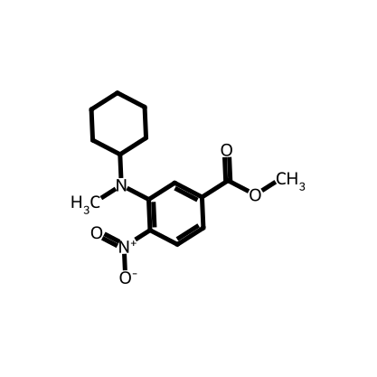 COC(=O)c1ccc([N+](=O)[O-])c(N(C)C2CCCCC2)c1